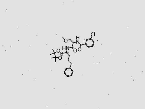 COCC(NC(=O)c1cccc(Cl)c1)C(=O)N[C@@H](CCCc1ccccc1)B1OC(C)(C)C(C)(C)O1